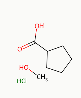 CO.Cl.O=C(O)C1CCCC1